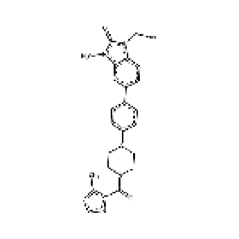 Cc1scnc1C(=O)N1CCN(c2ccc(-c3ccc4c(n3)n(C)c(=O)n4CC(C)(C)C)cc2)CC1